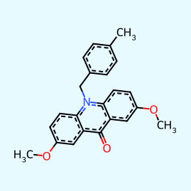 COc1ccc2c(c1)c(=O)c1cc(OC)ccc1n2Cc1ccc(C)cc1